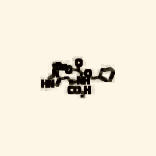 CC(C)(C)OC(=O)C(N[C@@H](Cc1c[nH]cn1)C(=O)O)OCc1ccccc1